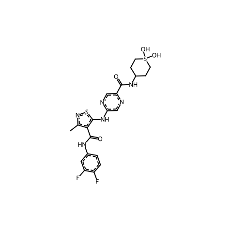 Cc1nsc(Nc2cnc(C(=O)NC3CCS(O)(O)CC3)cn2)c1C(=O)Nc1ccc(F)c(F)c1